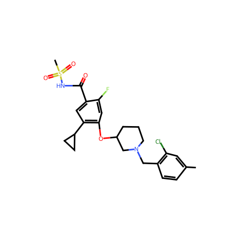 Cc1ccc(CN2CCCC(Oc3cc(F)c(C(=O)NS(C)(=O)=O)cc3C3CC3)C2)c(Cl)c1